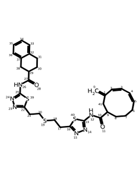 C=C1/C=C\C=C/CCCC(C(=O)Nc2nnc(CCSCCc3nnc(NC(=O)C4CCc5ccccc5C4)s3)s2)C1